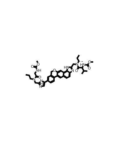 CCCN(Cc1ncc(-c2ccc3c(c2)COc2cc4c(ccc5nc(CN(C(=O)C(NC(=O)OC)C(C)C)[C@@H](C)CC)[nH]c54)cc2-3)[nH]1)C(=O)CNC(=O)OC